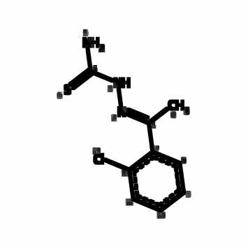 CC(=NNC(N)=S)c1ccccc1Cl